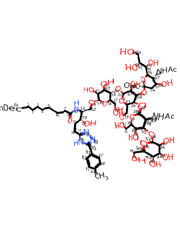 CCCCCCCCCCCCCCCCCC(=O)N[C@@H](CO[C@@H]1OC(CO)[C@@H](O[C@@H]2OC(CO)[C@H](OC3OC(CO)[C@H](O)C(O[C@@H]4OC(CO)[C@H](O)C(O)C4O)C3NC(C)=O)C(O[C@]3(C=O)CC(O)[C@@H](NC(C)=O)C([C@H](O)[C@H](O)CO)O3)C2O)C(O)C1O)[C@H](O)/C=C\c1nnc(-c2ccc(C)cc2)[nH]1